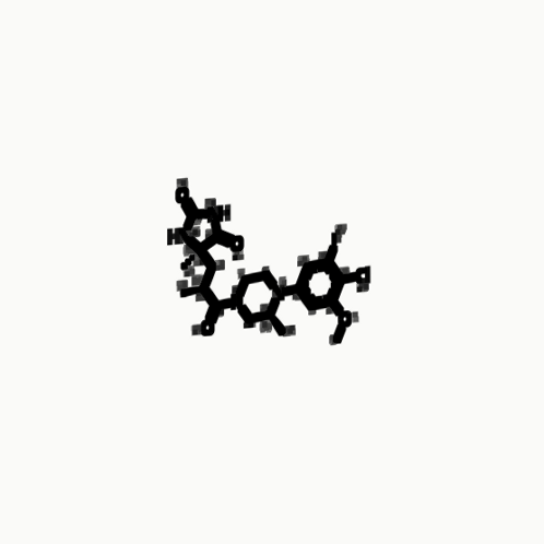 COc1cc(N2CCN(C(=O)[C@@H](C)C[C@@]3(C)NC(=O)NC3=O)C[C@@H]2C)cc(F)c1Cl